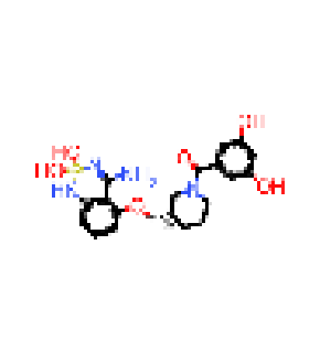 NC1=NS(O)(O)Nc2cccc(OC[C@H]3CCCN(C(=O)c4cc(O)cc(O)c4)C3)c21